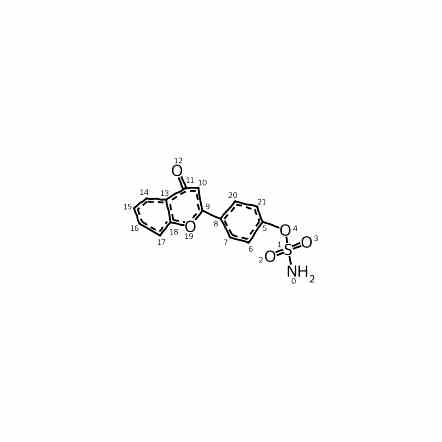 NS(=O)(=O)Oc1ccc(-c2cc(=O)c3ccccc3o2)cc1